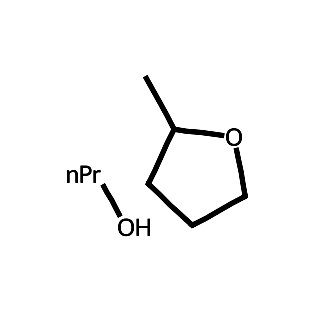 CC1CCCO1.CCCO